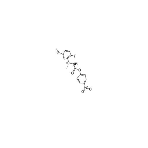 COc1ccc(F)c([C@@H](C)NC(=O)Oc2ccc([N+](=O)[O-])cc2)c1